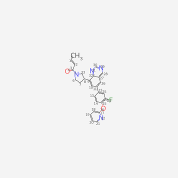 C/C=C/C(=O)N1CCC(c2cc(-c3ccc(Oc4ccccn4)c(F)c3)cc3cncnc23)C1